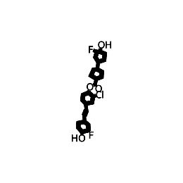 O=C(Oc1ccc(C#Cc2ccc(O)c(F)c2)cc1Cl)c1ccc(-c2ccc(O)c(F)c2)cc1